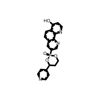 O=P1(c2cnc3c(ccc4c(O)ccnc43)c2)OCCC(c2ccncc2)O1